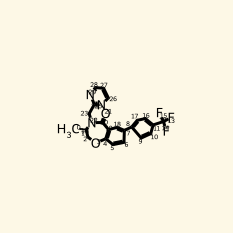 C[C@@H]1COc2ccc(-c3ccc(C(F)(F)F)cc3)cc2C(=O)N1Cc1ncccn1